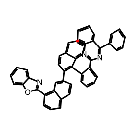 c1ccc(-c2nc(-c3ccccc3-c3c(-c4ccc5cccc(-c6nc7ccccc7o6)c5c4)ccc4ccccc34)nc3ccccc23)cc1